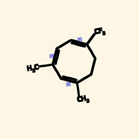 CC1=C/C=C(/C(F)(F)F)CC/C(C)=C\1